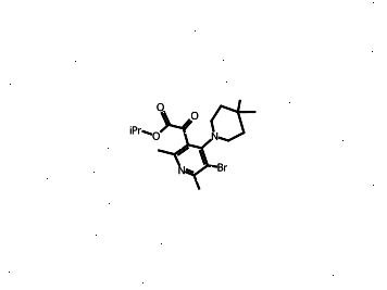 Cc1nc(C)c(C(=O)C(=O)OC(C)C)c(N2CCC(C)(C)CC2)c1Br